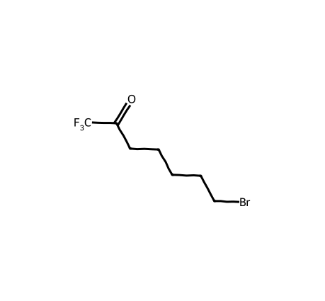 O=C(CCCCCBr)C(F)(F)F